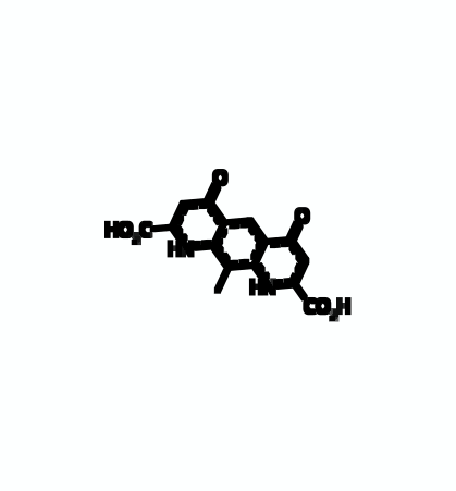 Cc1c2[nH]c(C(=O)O)cc(=O)c2cc2c(=O)cc(C(=O)O)[nH]c12